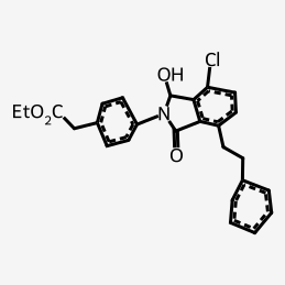 CCOC(=O)Cc1ccc(N2C(=O)c3c(CCc4ccccc4)ccc(Cl)c3C2O)cc1